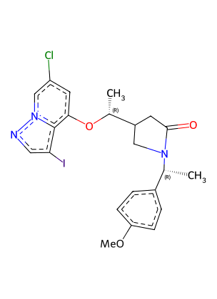 COc1ccc([C@@H](C)N2CC([C@@H](C)Oc3cc(Cl)cn4ncc(I)c34)CC2=O)cc1